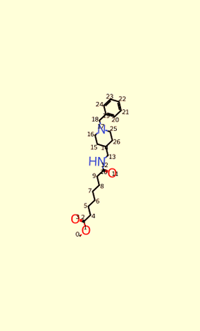 COC(=O)CCCCCCC(=O)NCC1CCN(Cc2ccccc2)CC1